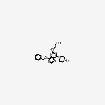 [O-][S+]1CCN(c2nc(NCCO)nc3c(OCc4ccccc4)ncnc23)CC1